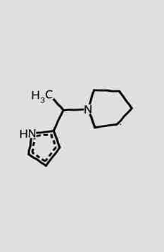 CC(c1ccc[nH]1)N1C[CH]CCC1